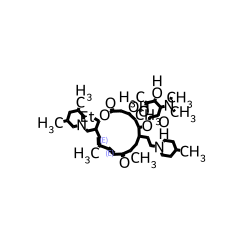 CCC1OC(=O)CC(O)C(C)C(OC2OC(C)C(O)C(N(C)C)C2O)C(CCN2CCC(C)CC2)CC(C)C(=O)/C=C/C(C)=C/C1CN1CC(C)CC(C)C1